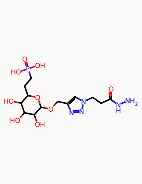 NNC(=O)CCn1cc(COC2OC(CCP(=O)(O)O)C(O)C(O)C2O)nn1